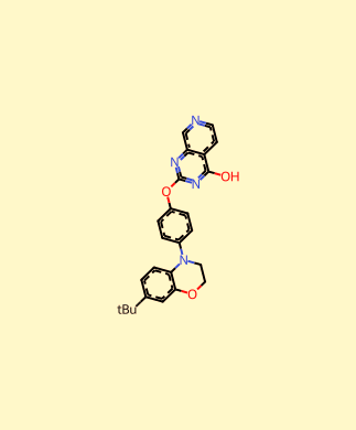 CC(C)(C)c1ccc2c(c1)OCCN2c1ccc(Oc2nc(O)c3ccncc3n2)cc1